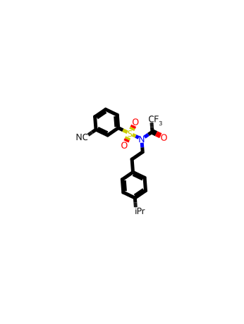 CC(C)c1ccc(CCN(C(=O)C(F)(F)F)S(=O)(=O)c2cccc(C#N)c2)cc1